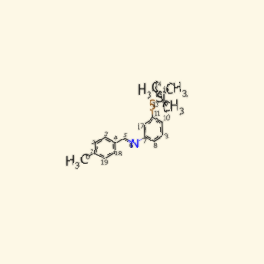 Cc1ccc(C=Nc2cccc(S[Si](C)(C)C)c2)cc1